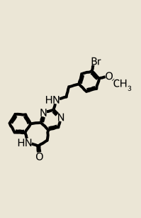 COc1ccc(CCNc2ncc3c(n2)-c2ccccc2NC(=O)C3)cc1Br